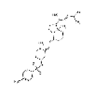 C=C1CC[C@H](OS(=O)(=O)c2ccc(C)cc2)C/C1=C/C=C1\CCCC2(C)C1CC[C@@H]2[C@H](C)/C=C/C(C)C(C)C